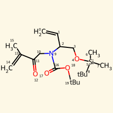 C=CC(CO[Si](C)(C)C(C)(C)C)N(CC(=O)C(=C)C)C(=O)OC(C)(C)C